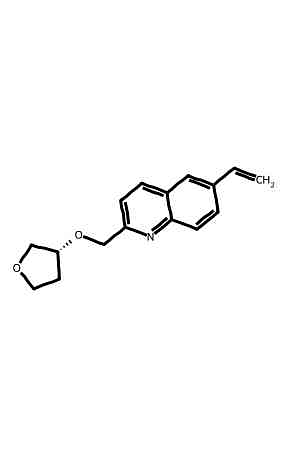 C=Cc1ccc2nc(CO[C@@H]3CCOC3)ccc2c1